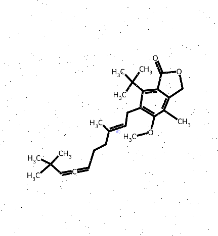 COc1c(C)c2c(c(C(C)(C)C)c1C/C=C(\C)CCC=C=CC(C)(C)C)C(=O)OC2